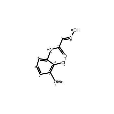 COc1cccc(NC(=O)/C=N/O)c1Cl